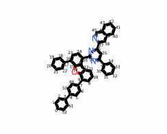 c1ccc(-c2ccc(-c3cccc4c3oc3c(-c5ccccc5)ccc(-c5nc(-c6ccccc6)cc(-c6cc7ccccc7cn6)n5)c34)cc2)cc1